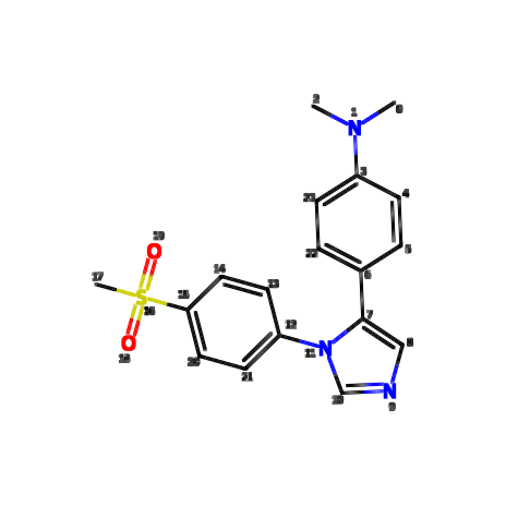 CN(C)c1ccc(-c2cncn2-c2ccc(S(C)(=O)=O)cc2)cc1